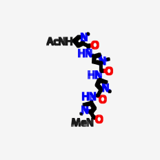 CNC(=O)c1cc(NC(=O)c2cc(NC(=O)c3cc(NC(=O)c4cc(NC(C)=O)cn4C)cn3C)cn2C)cn1C